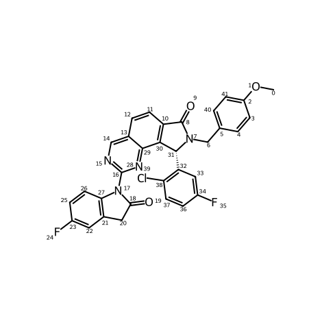 COc1ccc(CN2C(=O)c3ccc4cnc(N5C(=O)Cc6cc(F)ccc65)nc4c3[C@H]2c2cc(F)ccc2Cl)cc1